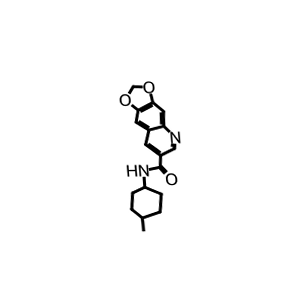 CC1CCC(NC(=O)c2cnc3cc4c(cc3c2)OCO4)CC1